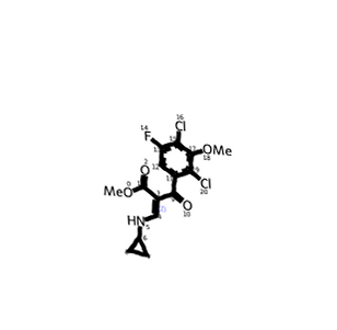 COC(=O)/C(=C\NC1CC1)C(=O)c1cc(F)c(Cl)c(OC)c1Cl